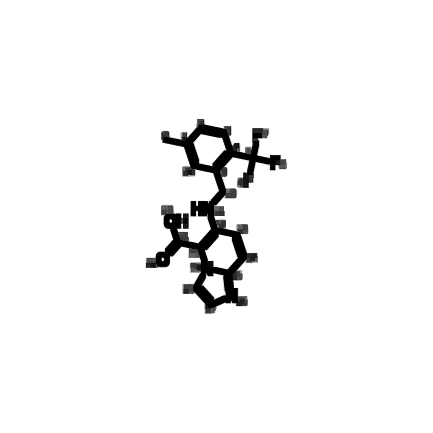 Cc1ccc(C(F)(F)F)c(CNc2ccc3nccn3c2C(=O)O)c1